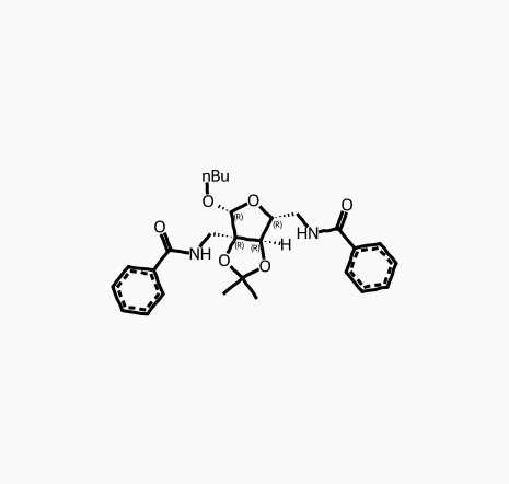 CCCCO[C@@H]1O[C@H](CNC(=O)c2ccccc2)[C@H]2OC(C)(C)O[C@@]12CNC(=O)c1ccccc1